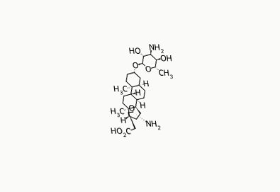 C[C@@H]1O[C@@H](O[C@H]2CC[C@@]3(C)[C@H](CC[C@@H]4[C@@H]3CC[C@]3(C)[C@@H]5CC[C@]43O[C@H](N)[C@@H]5CC(=O)O)C2)[C@H](O)[C@@H](N)[C@H]1O